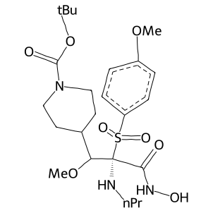 CCCN[C@](C(=O)NO)(C(OC)C1CCN(C(=O)OC(C)(C)C)CC1)S(=O)(=O)c1ccc(OC)cc1